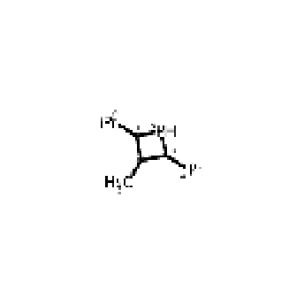 CC(C)C1PC(C(C)C)C1C